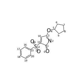 O=C1N=C(OC2CCCC2)C=C1S(=O)(=O)c1ccccc1